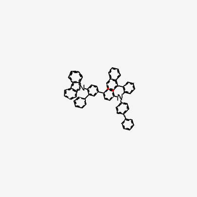 c1ccc(-c2ccc(N(c3ccc(-c4ccc(-n5c6ccccc6c6ccccc65)c(-c5ccccc5)c4)cc3)c3ccccc3-c3cccc4ccccc34)cc2)cc1